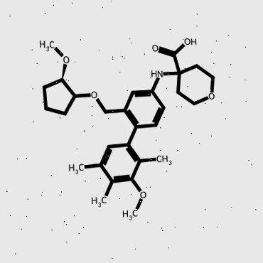 COc1c(C)c(C)cc(-c2ccc(NC3(C(=O)O)CCOCC3)cc2COC2CCC[C@H]2OC)c1C